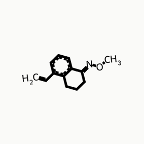 C=Cc1cccc2c1CCCC2=NOC